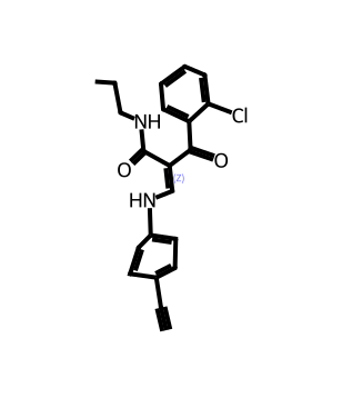 C#Cc1ccc(N/C=C(\C(=O)NCCC)C(=O)c2ccccc2Cl)cc1